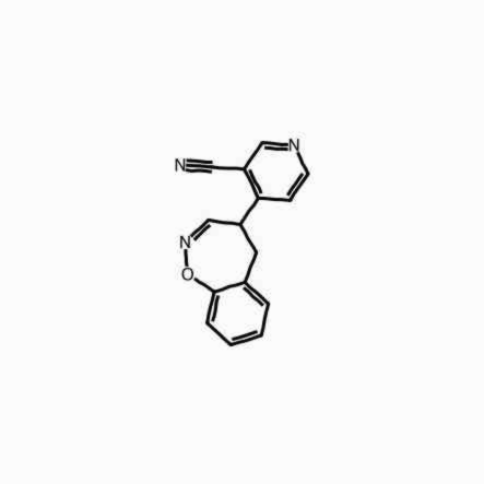 N#Cc1cnccc1C1C=NOc2ccccc2C1